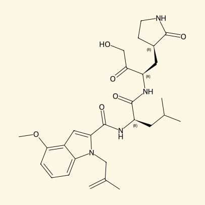 C=C(C)Cn1c(C(=O)N[C@H](CC(C)C)C(=O)N[C@H](C[C@H]2CCNC2=O)C(=O)CO)cc2c(OC)cccc21